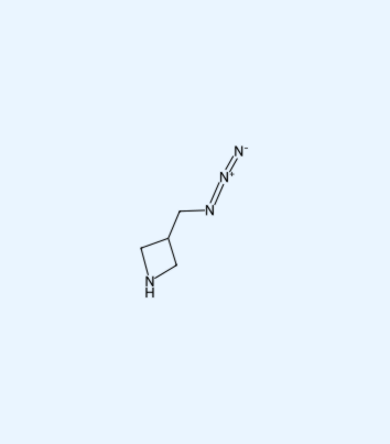 [N-]=[N+]=NCC1CNC1